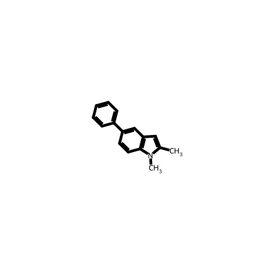 Cc1cc2cc(-c3ccccc3)ccc2n1C